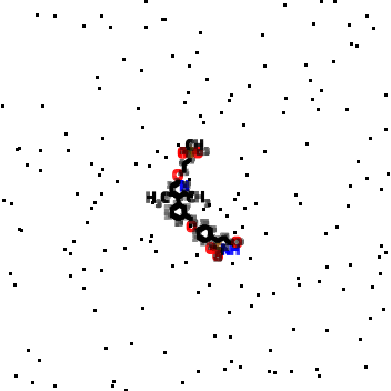 Cc1cc(OCCCS(C)(=O)=O)nc(C)c1-c1cccc(COc2ccc(C3CC(=O)NS3(=O)=O)cc2)c1